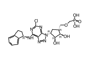 O=P(O)(O)COC[C@H]1C[C@@H](n2nnc3c(N[C@@H]4CCc5ccccc54)nc(Cl)nc32)[C@H](O)[C@@H]1O